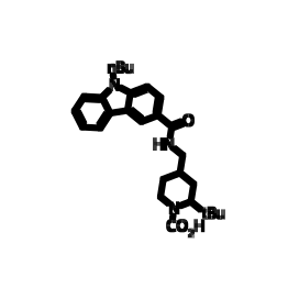 CCCCn1c2ccccc2c2cc(C(=O)NCC3CCN(C(=O)O)C(C(C)(C)C)C3)ccc21